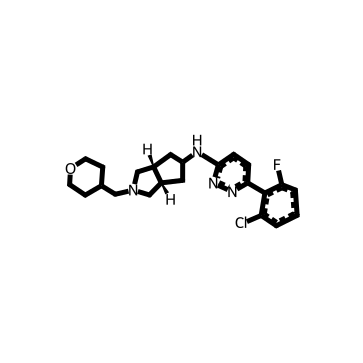 Fc1cccc(Cl)c1-c1ccc(NC2C[C@@H]3CN(CC4CCOCC4)C[C@@H]3C2)nn1